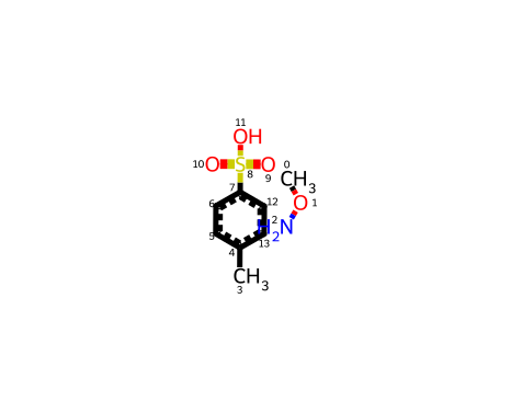 CON.Cc1ccc(S(=O)(=O)O)cc1